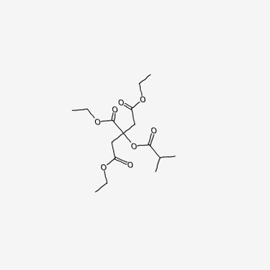 CCOC(=O)CC(CC(=O)OCC)(OC(=O)C(C)C)C(=O)OCC